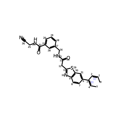 C/C=C\C(=C/C)c1ccc2nc(CC(=O)NCc3cccc(C(=O)NCC#N)c3)sc2c1